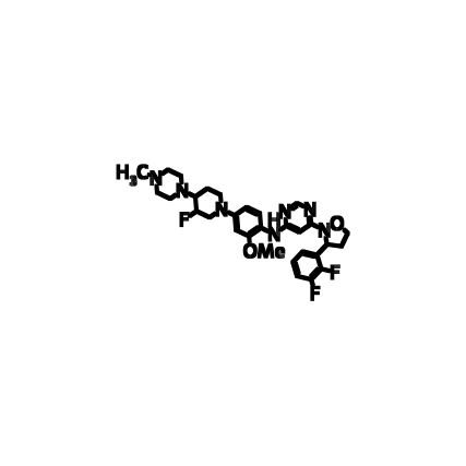 COc1cc(N2CCC(N3CCN(C)CC3)C(F)C2)ccc1Nc1cc(N2OCCC2c2cccc(F)c2F)ncn1